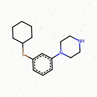 c1cc(SC2CCCCC2)cc(N2CCNCC2)c1